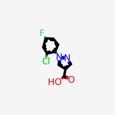 O=C(O)c1cnn(-c2ccc(F)cc2Cl)c1